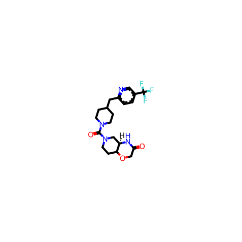 O=C1COC2CCN(C(=O)N3CCC(Cc4ccc(C(F)(F)F)cn4)CC3)C[C@H]2N1